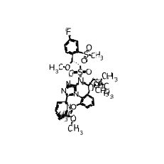 COc1cccc(-c2nnc(N(CC[Si](C)(C)C)S(=O)(=O)C[C@H](OC)c3ccc(F)cc3S(C)(=O)=O)n2-c2c(OC)cccc2OC)n1